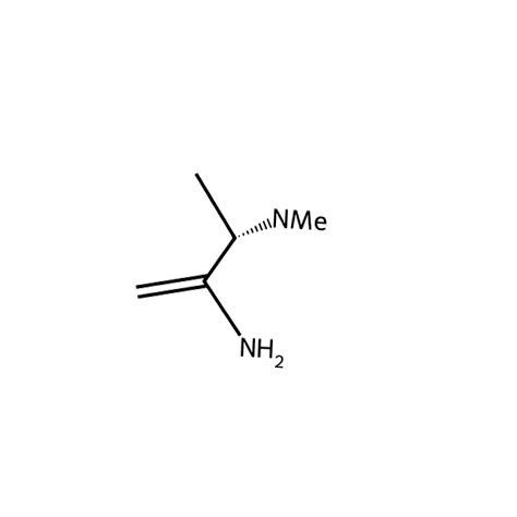 C=C(N)[C@H](C)NC